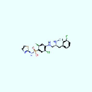 CNC(CNc1cc(F)c(S(=O)(=O)Nc2nccs2)cc1Cl)Cc1cccc(F)c1